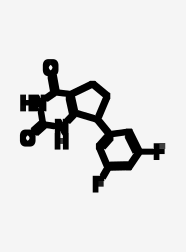 O=c1[nH]c2c(c(=O)[nH]1)CCC2c1cc(F)cc(F)c1